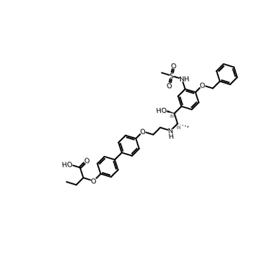 CCC(Oc1ccc(-c2ccc(OCCN[C@@H](C)[C@@H](O)c3ccc(OCc4ccccc4)c(NS(C)(=O)=O)c3)cc2)cc1)C(=O)O